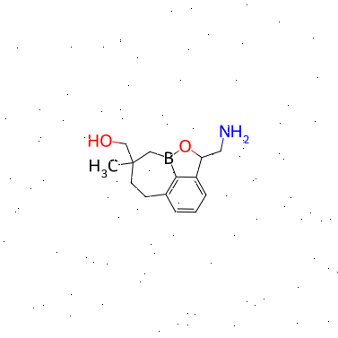 CC1(CO)CCc2cccc3c2B(C1)OC3CN